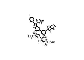 CNC(=O)c1c(-c2ccc(F)cc2)oc2cc(N(CCC(=O)NC(C(=O)OC)C(C)C)S(C)(=O)=O)c(-c3cccc(-c4nc5ncccc5o4)c3)cc12